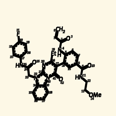 C=CC(=O)Nc1ccc(C(=O)NCCOC)cc1-c1c(CC)nc2n(CC(=O)Nc3ccc(F)cc3)c3ccccc3n2c1=O